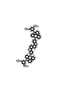 CC(C)(C)c1cc(-n2c3ccccc3c3c(N(c4ccccc4)c4ccc5c(c4)sc4ccc6c(ccc7sc8cc(N(c9ccccc9)c9cccc%10c9c9ccccc9n%10-c9cc(C(C)(C)C)cc(C(C)(C)C)c9)ccc8c76)c45)cccc32)cc(C(C)(C)C)c1